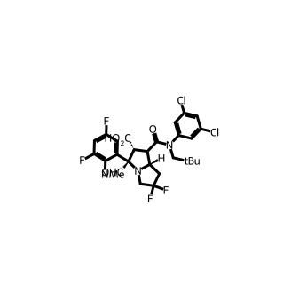 CNc1c(F)cc(F)cc1[C@]1(C=O)[C@H](C(=O)O)C(C(=O)N(CC(C)(C)C)c2cc(Cl)cc(Cl)c2)[C@@H]2CC(F)(F)CN21